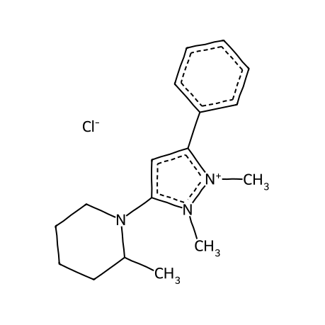 CC1CCCCN1c1cc(-c2ccccc2)[n+](C)n1C.[Cl-]